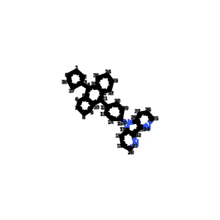 c1ccc(-c2c3ccccc3c(-c3ccc(-n4c5cccnc5c5ncccc54)cc3)c3ccccc23)cc1